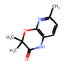 Cc1ccc2c(n1)OC(C)(C)C(=O)N2